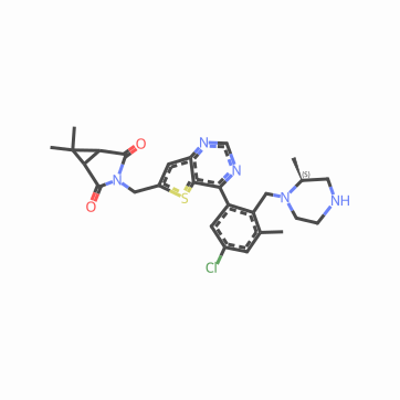 Cc1cc(Cl)cc(-c2ncnc3cc(CN4C(=O)C5C(C4=O)C5(C)C)sc23)c1CN1CCNC[C@@H]1C